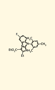 CCOC(=O)c1c(CC)nc2n(-c3c(C)cc(C)cc3C)c3ccc(F)cc3n12